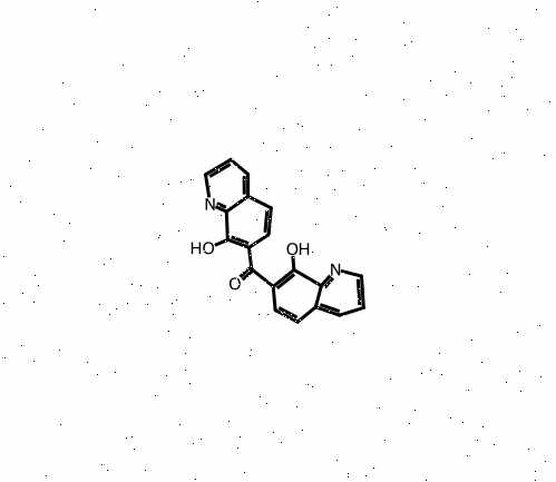 O=C(c1ccc2cccnc2c1O)c1ccc2cccnc2c1O